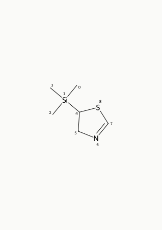 C[Si](C)(C)C1CN=CS1